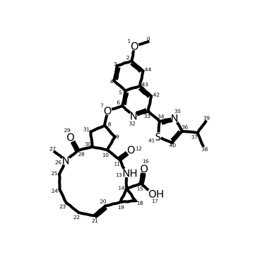 COc1ccc2c(OC3CC4C(=O)NC5(C(=O)O)CC5/C=C/CCCCN(C)C(=O)C4C3)nc(-c3nc(C(C)C)cs3)cc2c1